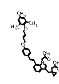 Cc1cc(C)c(OC/C=C/COc2ccc(C=Cc3cccc4c(CC5(CC(=O)O)CC5)cn(CC(=O)O)c34)cc2)c(C)c1